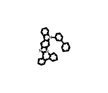 c1ccc(-c2cccc(-n3c4ccccc4c4cc5nc6c7ccccc7c7ccccc7n6c5cc43)c2)cc1